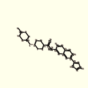 CN1CCN(C[C@H]2CC[C@H](C(=O)Nc3cc4cc(-c5cnco5)ncc4cn3)CC2)CC1